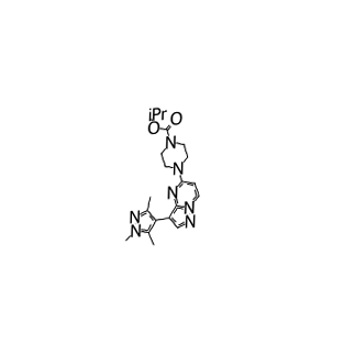 Cc1nn(C)c(C)c1-c1cnn2ccc(N3CCN(C(=O)OC(C)C)CC3)nc12